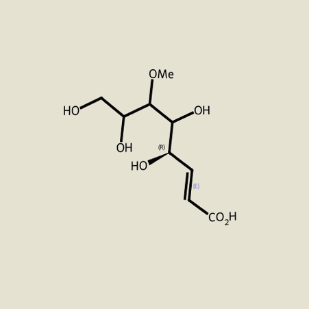 COC(C(O)CO)C(O)[C@H](O)/C=C/C(=O)O